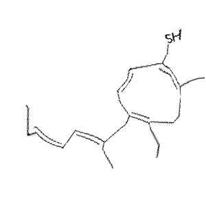 C/C=C\C=C(/C)C1=C(C)CC(C)=C(S)C=C1